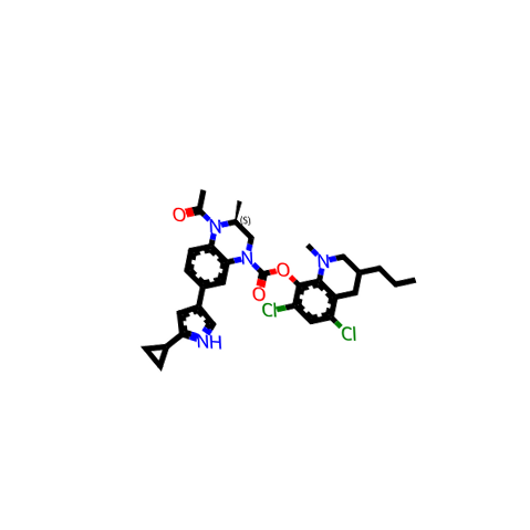 CCCC1Cc2c(Cl)cc(Cl)c(OC(=O)N3C[C@H](C)N(C(C)=O)c4ccc(-c5c[nH]c(C6CC6)c5)cc43)c2N(C)C1